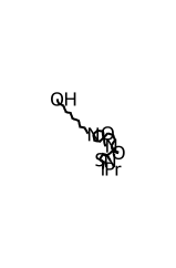 CC(C)c1nc(C(=O)N2CCOC3(CCN(CCCCCCCCCO)CC3)C2)cs1